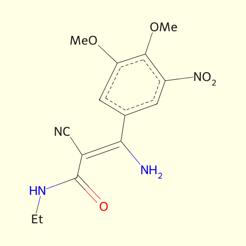 CCNC(=O)/C(C#N)=C(\N)c1cc(OC)c(OC)c([N+](=O)[O-])c1